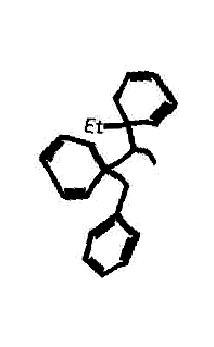 CCC1(C(C)C2(Cc3ccccc3)C=CC=CC2)C=CC=CC1